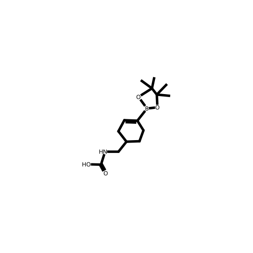 CC1(C)OB(C2=CCC(CNC(=O)O)CC2)OC1(C)C